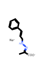 CC(=NNCC=Cc1ccccc1)C(=O)[O-].[Na+]